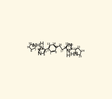 c1cc(-c2cnc([C@@H]3CCCN3)[nH]2)ccc1CCc1cnc([C@@H]2CCCN2)[nH]1